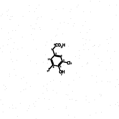 O=C(O)Cc1cc(Cl)c(O)c(I)c1